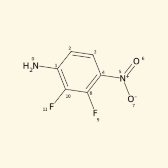 Nc1ccc([N+](=O)[O-])c(F)c1F